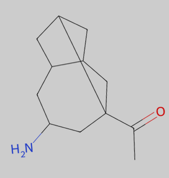 CC(=O)C12CC(N)CC3CC1CC3C2